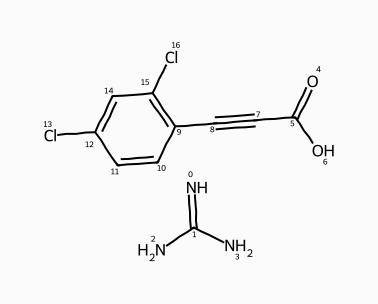 N=C(N)N.O=C(O)C#Cc1ccc(Cl)cc1Cl